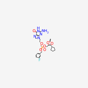 C=C1OC(COP(=O)(COCCn2cnc3c(=O)[nH]c(N)nc32)OCc2cccc(F)c2)=C(C2CCCC2)O1